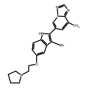 Cc1cc(-c2[nH]c3ccc(OCCN4CCCC4)cc3c2C(C)C)cn2ncnc12